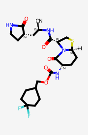 N#C[C@H](C[C@@H]1CCNC1=O)NC(=O)[C@@H]1CS[C@H]2CC[C@H](NC(=O)OCC3CCC(F)(F)CC3)C(=O)N21